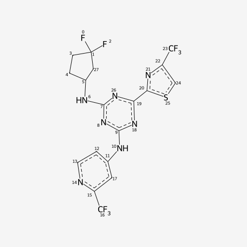 FC1(F)CCC(Nc2nc(Nc3ccnc(C(F)(F)F)c3)nc(-c3nc(C(F)(F)F)cs3)n2)C1